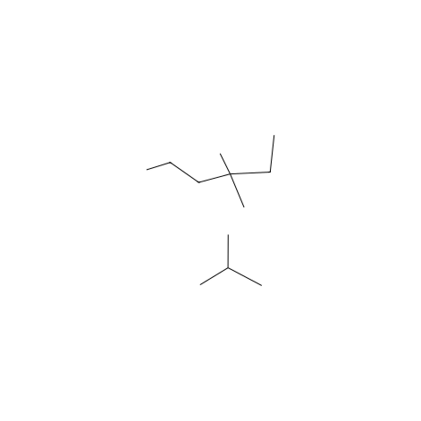 CC(C)C.CCCC(C)(C)CC